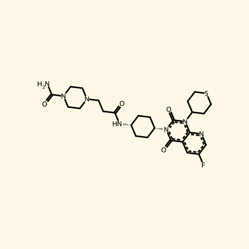 NC(=O)N1CCN(CCC(=O)N[C@H]2CC[C@@H](n3c(=O)c4cc(F)cnc4n(C4CCSCC4)c3=O)CC2)CC1